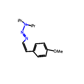 COc1ccc(/C=C\N=NN(C(C)C)C(C)C)cc1